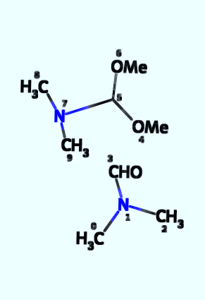 CN(C)C=O.COC(OC)N(C)C